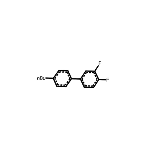 CCCCc1ccc(-c2ccc(F)c(F)c2)cc1